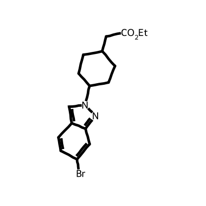 CCOC(=O)CC1CCC(n2cc3ccc(Br)cc3n2)CC1